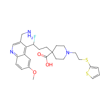 COc1ccc2ncc(CN)c(C(F)CCC3(C(=O)O)CCN(CCSc4cccs4)CC3)c2c1